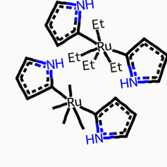 C[CH2][Ru]([CH2]C)([CH2]C)([CH2]C)([c]1ccc[nH]1)[c]1ccc[nH]1.[CH3][Ru]([CH3])([CH3])([CH3])([c]1ccc[nH]1)[c]1ccc[nH]1